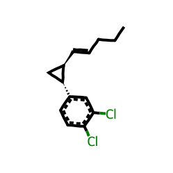 CCCC=C[C@@H]1C[C@H]1c1ccc(Cl)c(Cl)c1